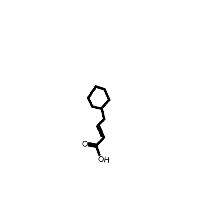 O=C(O)/C=C/CC1CCCCC1